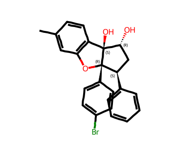 Cc1ccc2c(c1)O[C@@]1(c3ccc(Br)cc3)[C@H](c3ccccc3)C[C@@H](O)[C@@]21O